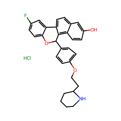 Cl.Oc1ccc2c3c(ccc2c1)-c1cc(F)ccc1OC3c1ccc(OCCC2CCCCN2)cc1